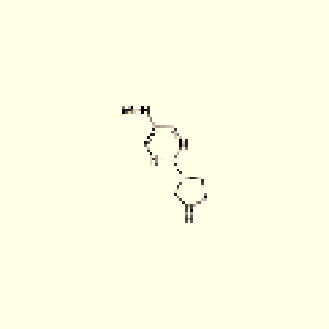 CNc1cnc(C2CCNC2)nc1